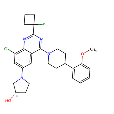 COc1ccccc1C1CCN(c2nc(C3(F)CCC3)nc3c(Cl)cc(N4CC[C@H](O)C4)cc23)CC1